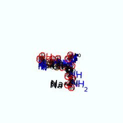 CCN1CCN(C(=O)N[C@@H](C(=O)N[C@@H]2C(=O)N3C(C(=O)[O-])=C(CSc4nnnn4CC(=O)O)CS[C@@H]23)c2ccc(NC(=O)OC[C@@H](N)C(=O)[O-])cc2)C(=O)C1=O.[Na+].[Na+]